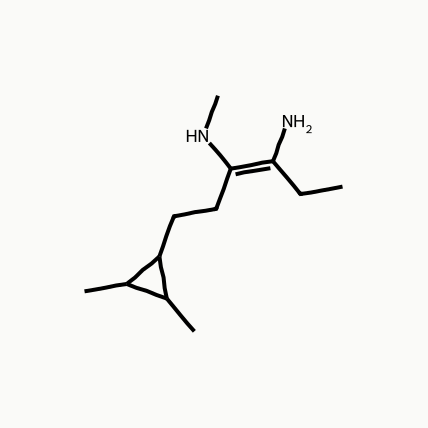 CC/C(N)=C(\CCC1C(C)C1C)NC